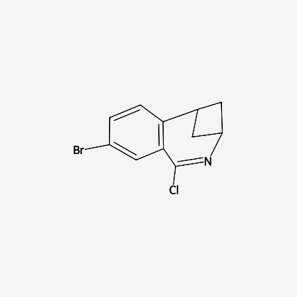 ClC1=NC2CC(C2)c2ccc(Br)cc21